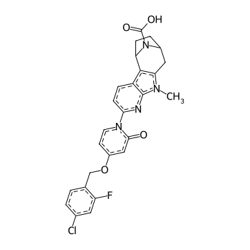 Cn1c2c(c3ccc(-n4ccc(OCc5ccc(Cl)cc5F)cc4=O)nc31)C1CCC(C2)N1C(=O)O